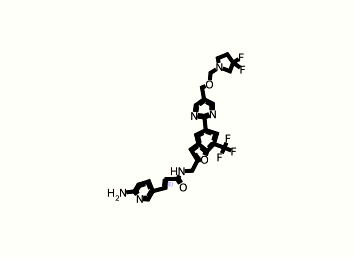 Nc1ccc(/C=C/C(=O)NCc2cc3cc(-c4ncc(COCN5CCC(F)(F)C5)cn4)cc(C(F)(F)F)c3o2)cn1